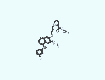 COC(=O)C1CCCN1CCCOc1cc2ncnc(Nc3cccc(Br)c3)c2cc1OC